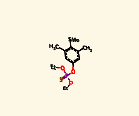 CCOP(=S)(OCC)Oc1cc(C)c(SC)c(C)c1